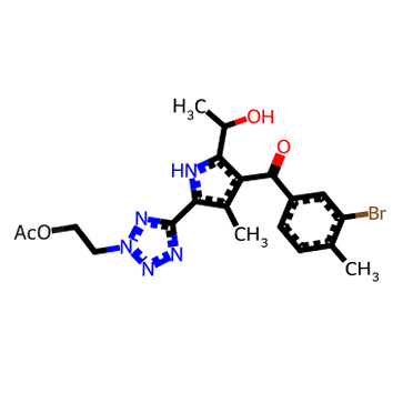 CC(=O)OCCn1nnc(-c2[nH]c(C(C)O)c(C(=O)c3ccc(C)c(Br)c3)c2C)n1